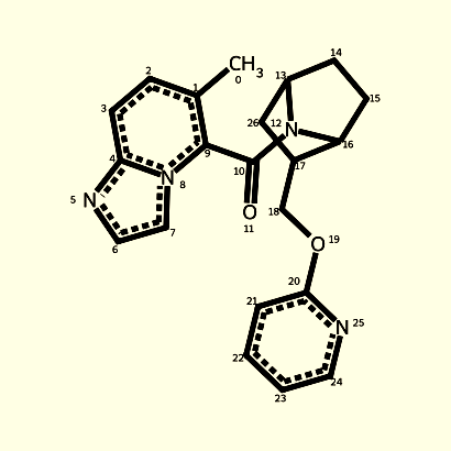 Cc1ccc2nccn2c1C(=O)N1C2CCC1C(COc1ccccn1)C2